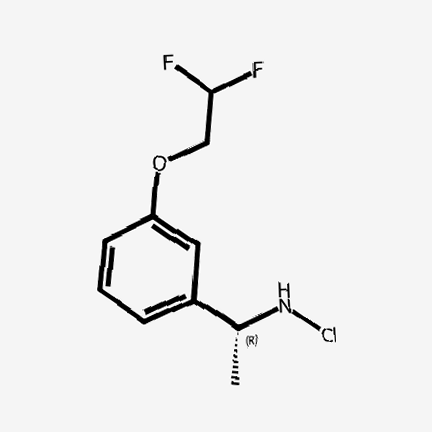 C[C@@H](NCl)c1cccc(OCC(F)F)c1